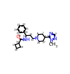 Cn1ncnc1C1CCN(CCC(NC(=O)C2CCC2)c2ccccc2)CC1